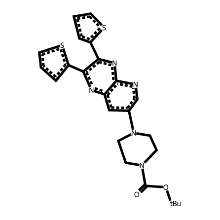 CC(C)(C)OC(=O)N1CCN(c2cnc3nc(-c4cccs4)c(-c4cccs4)nc3c2)CC1